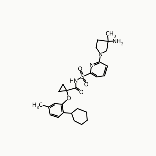 Cc1ccc(C2CCCCC2)c(OC2(C(=O)NS(=O)(=O)c3cccc(N4CCC(C)(N)C4)n3)CC2)c1